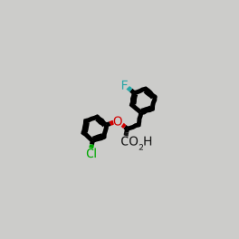 O=C(O)C(Cc1cccc(F)c1)Oc1cccc(Cl)c1